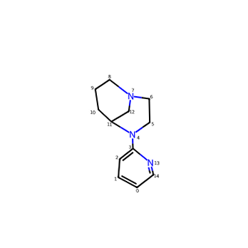 c1ccc(N2CCN3CCCC2C3)nc1